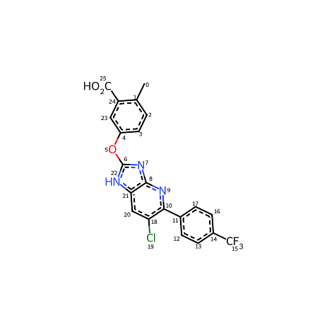 Cc1ccc(Oc2nc3nc(-c4ccc(C(F)(F)F)cc4)c(Cl)cc3[nH]2)cc1C(=O)O